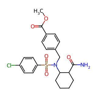 COC(=O)c1ccc(CN(C2CCCCC2C(N)=O)S(=O)(=O)c2ccc(Cl)cc2)cc1